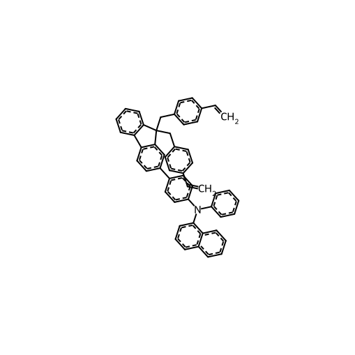 C=Cc1ccc(CC2(Cc3ccc(C=C)cc3)c3ccccc3-c3ccc(-c4ccc(N(c5ccccc5)c5cccc6ccccc56)cc4)cc32)cc1